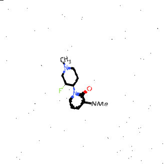 CNc1cccn([C@@H]2CCN(C)C[C@H]2F)c1=O